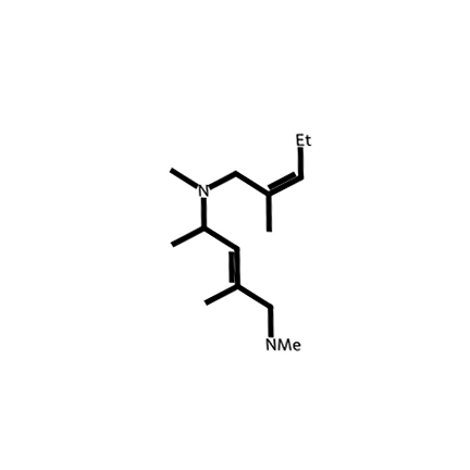 CC/C=C(/C)CN(C)C(C)/C=C(\C)CNC